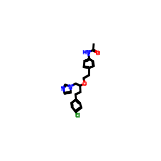 CC(=O)Nc1ccc(CCOC(CCc2ccc(Cl)cc2)Cn2ccnc2)cc1